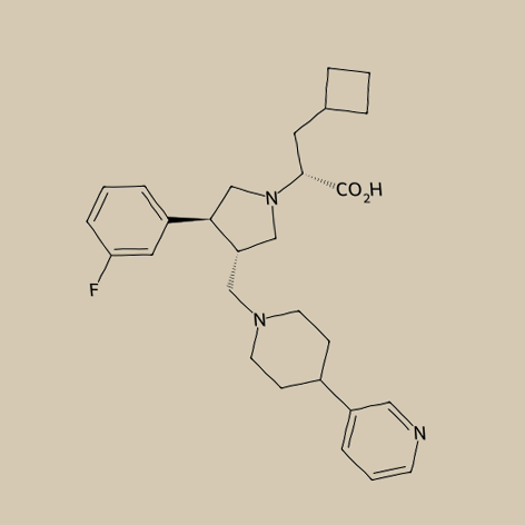 O=C(O)[C@@H](CC1CCC1)N1C[C@H](CN2CCC(c3cccnc3)CC2)[C@@H](c2cccc(F)c2)C1